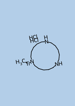 Cl.Cl.[CH3][Ti][N]1CCCCCNCCCCCNCCCCC1